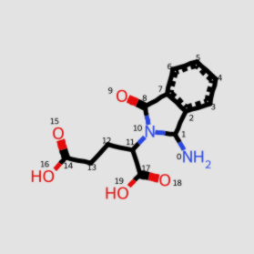 NC1c2ccccc2C(=O)N1C(CCC(=O)O)C(=O)O